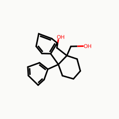 OCC1(CO)CCCCC1(c1ccccc1)c1ccccc1